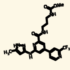 COC(=O)NCCCNC(=O)c1cc(-c2ccnc(C(F)(F)F)c2)cc(Nc2cc(C)[nH]n2)n1